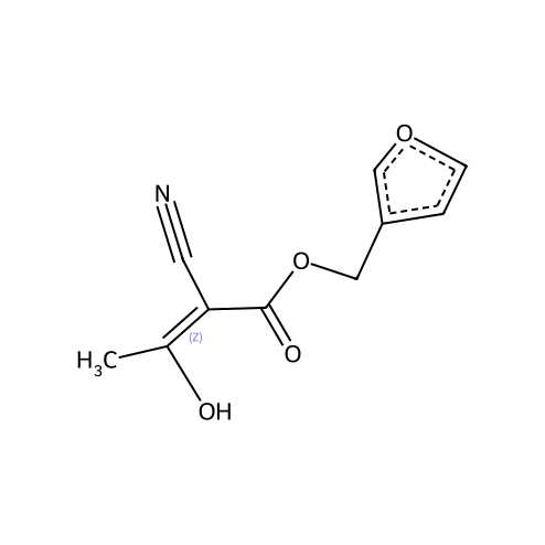 C/C(O)=C(\C#N)C(=O)OCc1ccoc1